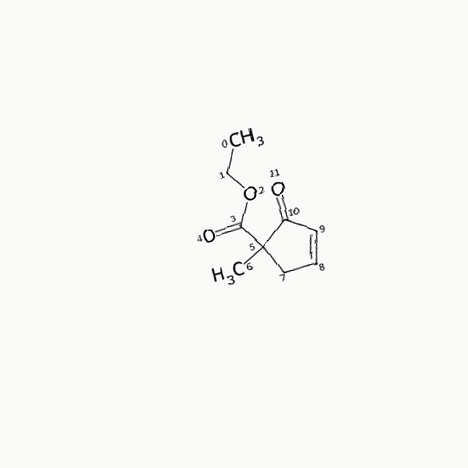 CCOC(=O)C1(C)CC=CC1=O